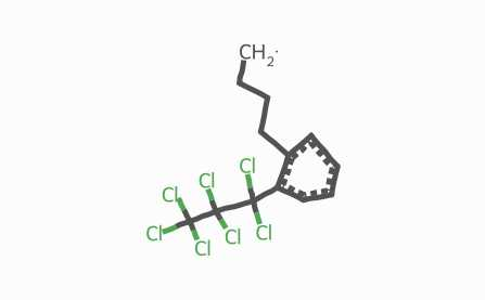 [CH2]CCCc1ccccc1C(Cl)(Cl)C(Cl)(Cl)C(Cl)(Cl)Cl